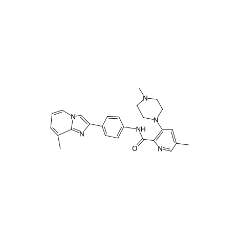 Cc1cnc(C(=O)Nc2ccc(-c3cn4cccc(C)c4n3)cc2)c(N2CCN(C)CC2)c1